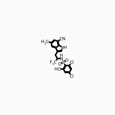 Cc1cc(C#N)c2[nH]cc(CC(NS(=O)(=O)c3c(O)cc(Cl)cc3Cl)C(F)(F)F)c2c1